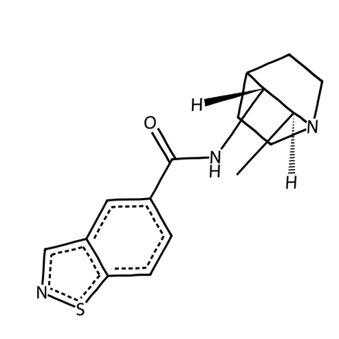 C[C@H]1[C@H](NC(=O)c2ccc3sncc3c2)C2CCN1CC2